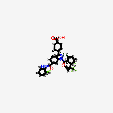 O=C(O)C1CC=C(c2nn(C(=O)c3c(Cl)cccc3C3(C(F)(F)F)CC3)c3c2CCC(C(=O)Nc2ccccc2F)C3)CC1